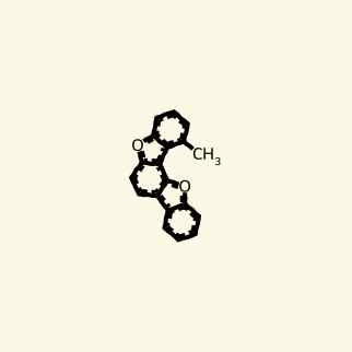 Cc1cccc2oc3ccc4c5ccccc5oc4c3c12